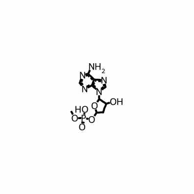 COP(=O)(O)OC1CC(O)C(n2cnc3c(N)ncnc32)O1